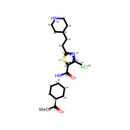 COC(=O)[C@H]1CC[C@H](NC(=O)c2sc(CCC3CCNCC3)nc2C)CC1.Cl